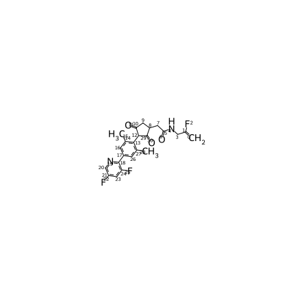 C=C(F)CNC(=O)CC1CC(=O)C(c2c(C)cc(-c3ncc(F)cc3F)cc2C)C1=O